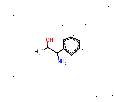 [CH2]C(O)C(N)c1ccccc1